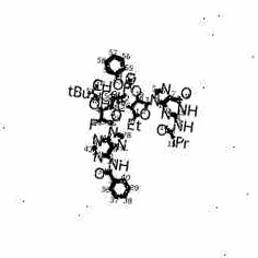 CCC1OC(n2cnc3c(=O)[nH]c(NC(=O)C(C)C)nc32)C(OP(=O)(CCC2OC(n3cnc4c(NC(=O)c5ccccc5)ncnc43)C(F)C2O[Si](C)(C)C(C)(C)C)Oc2ccccc2)C1C